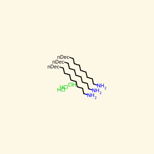 CCCCCCCCCCCCCCCCCCN.CCCCCCCCCCCCCCCCCCN.CCCCCCCCCCCCCCCCCCN.Cl.Cl.Cl